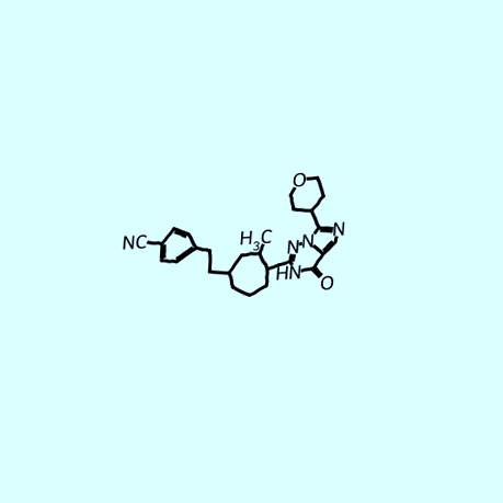 CC1CC(CCc2ccc(C#N)cc2)CCCC1c1nn2c(C3CCOCC3)ncc2c(=O)[nH]1